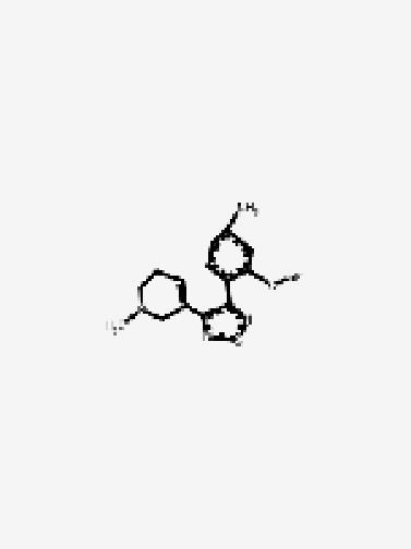 CCCOc1cc(C)ccc1-c1nsnc1C1=CCCN(C)C1